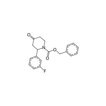 O=C1CCN(C(=O)OCc2ccccc2)C(c2cccc(F)c2)C1